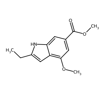 CCc1cc2c(OC)cc(C(=O)OC)cc2[nH]1